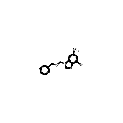 O=[N+]([O-])c1cc(Br)c2ncn(COCc3ccccc3)c2c1